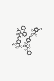 CCOc1cc(CC(=O)N[C@@H](CC(C)C)c2ccccc2N2CCCCC2)ccc1C(=O)O.COc1ccc(Cl)cc1C(=O)NCCc1ccc(S(=O)(=O)NC(=O)NC2CCCCC2)cc1